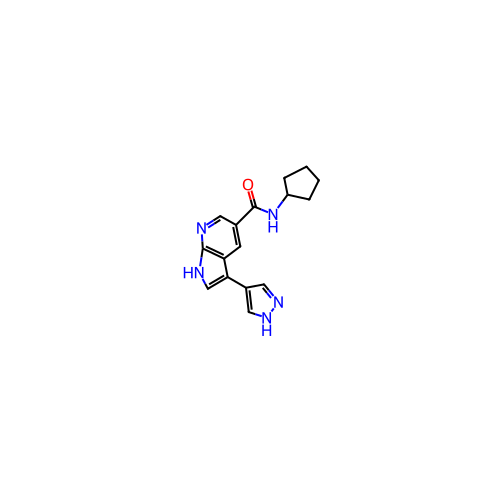 O=C(NC1CCCC1)c1cnc2[nH]cc(-c3cn[nH]c3)c2c1